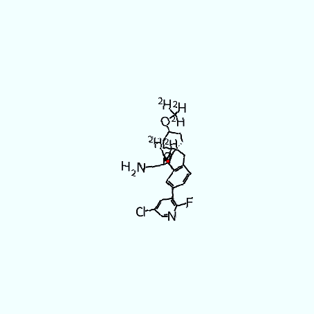 [2H]C([2H])([2H])O[C@H]1CC[C@@]2(Cc3ccc(-c4cc(Cl)cnc4F)cc3[C@]23N=C(N)OC3([2H])[2H])C[C@@H]1C